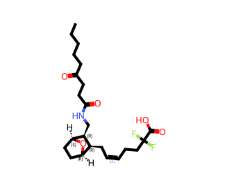 CCCCCC(=O)CCC(=O)NC[C@H]1[C@@H](C/C=C\CCC(F)(F)C(=O)O)[C@H]2CC[C@@H]1O2